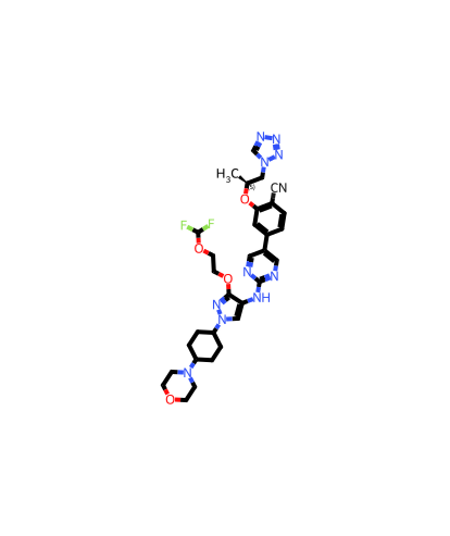 C[C@@H](Cn1cnnn1)Oc1cc(-c2cnc(Nc3cn(C4CCC(N5CCOCC5)CC4)nc3OCCOC(F)F)nc2)ccc1C#N